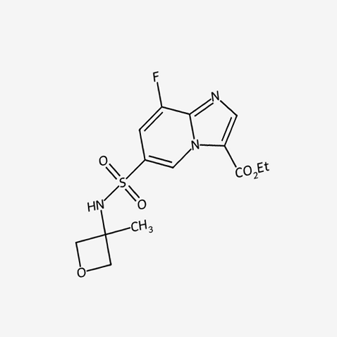 CCOC(=O)c1cnc2c(F)cc(S(=O)(=O)NC3(C)COC3)cn12